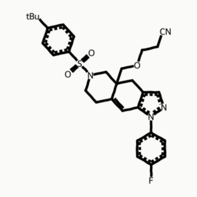 CC(C)(C)c1ccc(S(=O)(=O)N2CCC3=Cc4c(cnn4-c4ccc(F)cc4)CC3(COCCC#N)C2)cc1